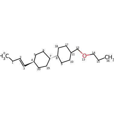 CC/C=C/[C@H]1CC[C@H](C2CCC(COCCC)CC2)CC1